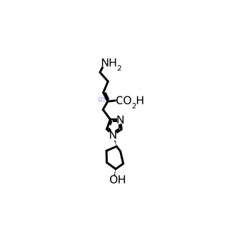 NCC/C=C(/Cc1cn([C@H]2CC[C@@H](O)CC2)cn1)C(=O)O